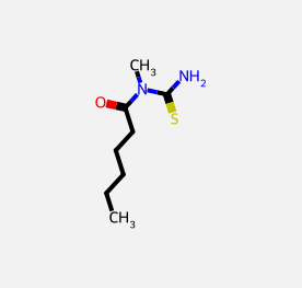 CCCCCC(=O)N(C)C(N)=S